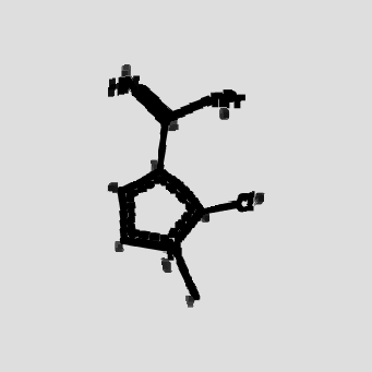 CCCC(=N)c1ccn(C)c1Cl